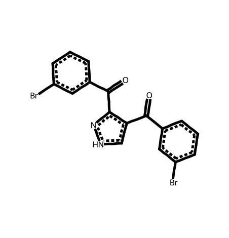 O=C(c1cccc(Br)c1)c1c[nH]nc1C(=O)c1cccc(Br)c1